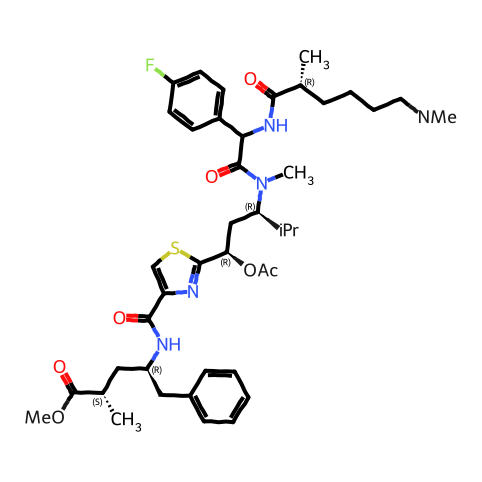 CNCCCC[C@@H](C)C(=O)NC(C(=O)N(C)[C@H](C[C@@H](OC(C)=O)c1nc(C(=O)N[C@@H](Cc2ccccc2)C[C@H](C)C(=O)OC)cs1)C(C)C)c1ccc(F)cc1